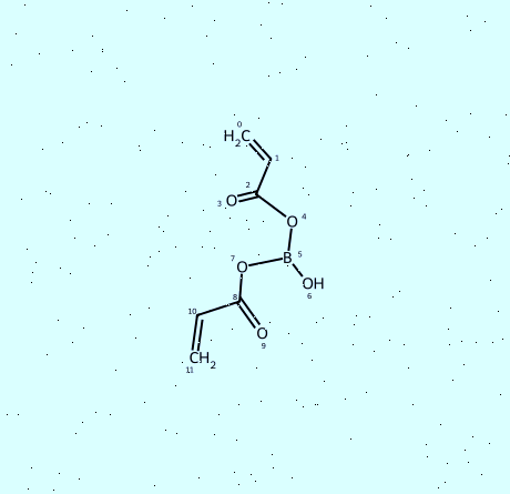 C=CC(=O)OB(O)OC(=O)C=C